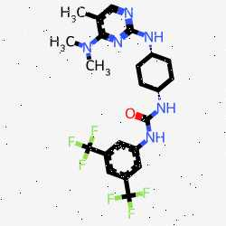 Cc1cnc(N[C@H]2CC[C@@H](NC(=O)Nc3cc(C(F)(F)F)cc(C(F)(F)F)c3)CC2)nc1N(C)C